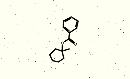 CC1(OC(=O)c2[c]cccc2)CCCCC1